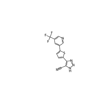 N#Cc1[nH]nnc1-c1ccc(-c2cncc(C(F)(F)F)c2)s1